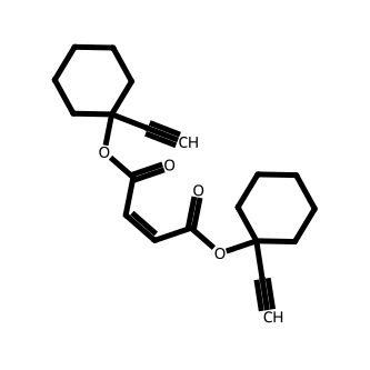 C#CC1(OC(=O)/C=C\C(=O)OC2(C#C)CCCCC2)CCCCC1